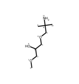 COCC(O)COCC(C)(C)N